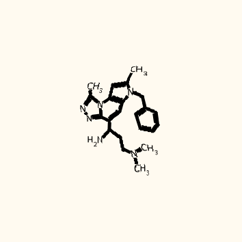 Cc1cc2c(cc(C(N)CCN(C)C)c3nnc(C)n32)n1Cc1ccccc1